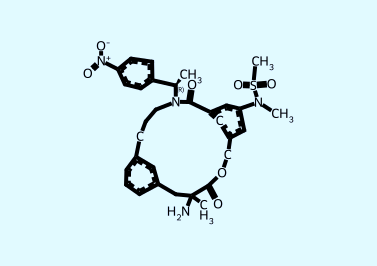 C[C@H](c1ccc([N+](=O)[O-])cc1)N1CCCc2cccc(c2)CC(C)(N)C(=O)OCc2cc(cc(N(C)S(C)(=O)=O)c2)C1=O